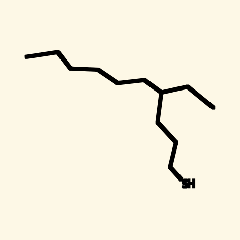 CCCCCCC(CC)CCCS